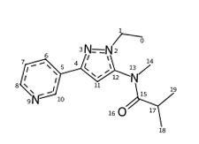 CCn1nc(-c2cccnc2)cc1N(C)C(=O)C(C)C